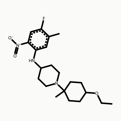 CCOC1CCC(C)(N2CCC(Nc3cc(C)c(F)cc3[N+](=O)[O-])CC2)CC1